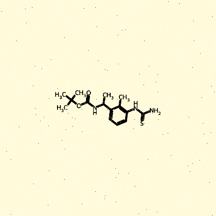 Cc1c(NC(N)=S)cccc1C(C)NC(=O)OC(C)(C)C